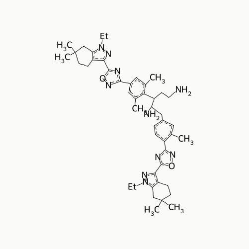 CCn1nc(-c2nc(-c3cc(C)c(C(CCN)C(N)Cc4ccc(-c5noc(-c6nn(CC)c7c6CCC(C)(C)C7)n5)c(C)c4)c(C)c3)no2)c2c1CC(C)(C)CC2